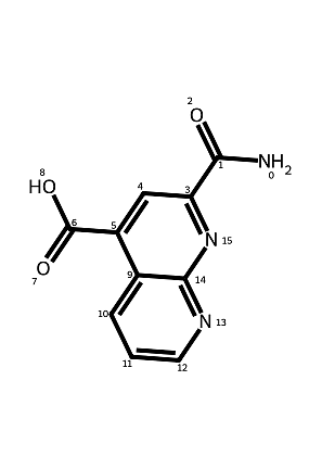 NC(=O)c1cc(C(=O)O)c2cccnc2n1